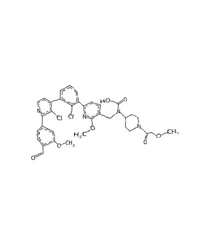 COCC(=O)N1CCC(N(Cc2ccc(-c3cccc(-c4ccnc(-c5ccc(C=O)c(OC)c5)c4Cl)c3Cl)nc2OC)C(=O)O)CC1